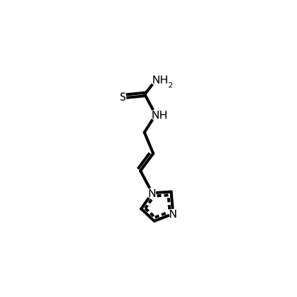 NC(=S)NCC=Cn1ccnc1